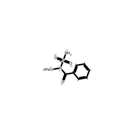 CCCCCN(C(=O)c1ccccc1)S(N)(=O)=O